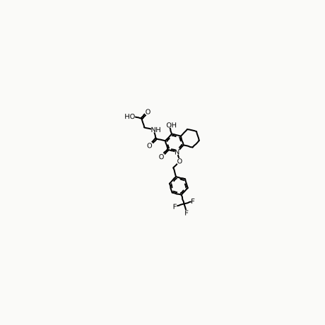 O=C(O)CNC(=O)c1c(O)c2c(n(OCc3ccc(C(F)(F)F)cc3)c1=O)CCCC2